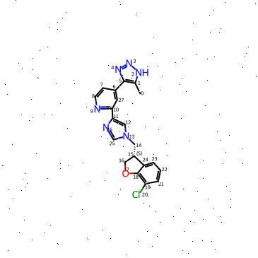 Cc1[nH]nnc1-c1ccnc(-c2cn(C[C@H]3COc4c(Cl)cccc43)cn2)c1